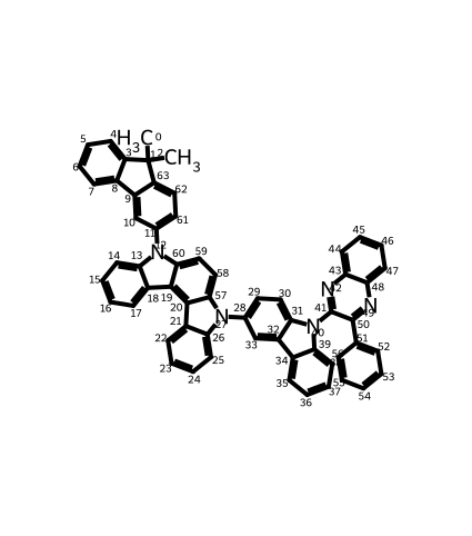 CC1(C)c2ccccc2-c2cc(-n3c4ccccc4c4c5c6ccccc6n(-c6ccc7c(c6)c6ccccc6n7-c6nc7ccccc7nc6-c6ccccc6)c5ccc43)ccc21